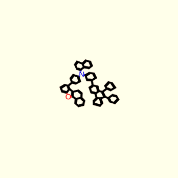 c1ccc(-c2c(-c3ccccc3)c3cc(-c4cccc(N(c5ccc(-c6cccc7oc8c9ccccc9ccc8c67)cc5)c5cccc6ccccc56)c4)ccc3c3ccccc23)cc1